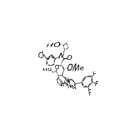 CO[C@@H]1[C@@H](n2cc(-c3cc(F)c(F)c(F)c3)nn2)[C@@H](O)[C@@H](CO)O[C@H]1C(=O)N(c1cccc(Cl)c1)[C@@H]1CC[C@H]1O